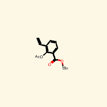 C=Cc1cccc(C(=O)OC(C)(C)C)c1OC(C)=O